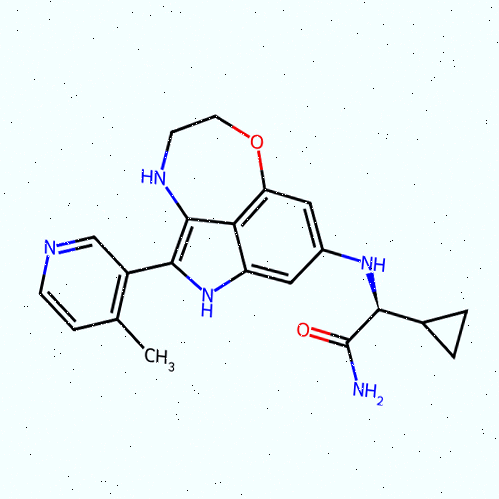 Cc1ccncc1-c1[nH]c2cc(N[C@H](C(N)=O)C3CC3)cc3c2c1NCCO3